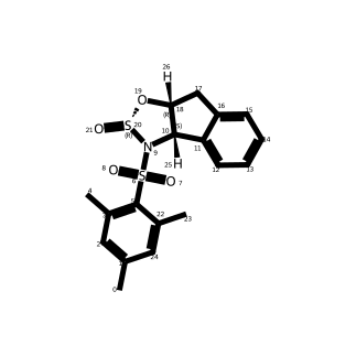 Cc1cc(C)c(S(=O)(=O)N2[C@H]3c4ccccc4C[C@H]3O[S@]2=O)c(C)c1